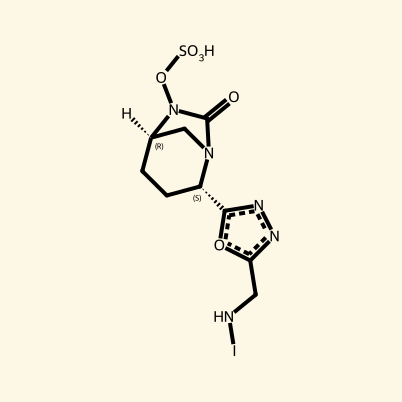 O=C1N2C[C@@H](CC[C@H]2c2nnc(CNI)o2)N1OS(=O)(=O)O